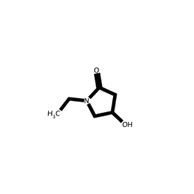 CCN1CC(O)CC1=O